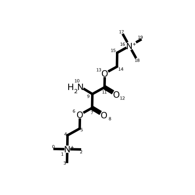 C[N+](C)(C)CCOC(=O)C(N)C(=O)OCC[N+](C)(C)C